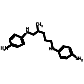 CC(CCCNc1ccc(N)cc1)CNc1ccc(N)cc1